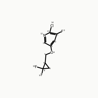 Fc1cc(OCC2CC2(F)F)cnc1Cl